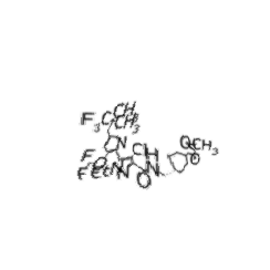 CCn1nc(C(=O)NC[C@H]2CC[C@H](S(C)(=O)=O)CC2)c(Cl)c1-c1ncc(CC(C)(C)C(F)(F)F)cc1OC(F)F